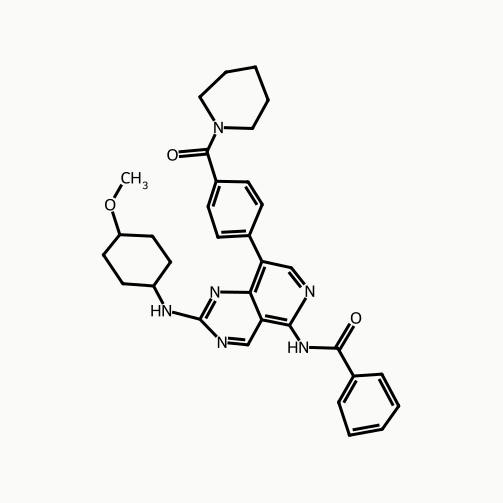 COC1CCC(Nc2ncc3c(NC(=O)c4ccccc4)ncc(-c4ccc(C(=O)N5CCCCC5)cc4)c3n2)CC1